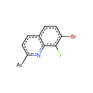 CC(=O)c1ccc2ccc(Br)c(F)c2n1